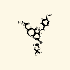 COc1ccc(Cn2nc3c4c(nc(NC(=O)OC(C)(C)C)nc42)SCC(CC(N)=O)=C3)cc1